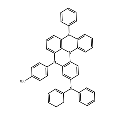 CC(C)(C)c1ccc(N2c3cc(N(C4=CC=CCC4)c4ccccc4)ccc3B3c4ccccc4N(c4ccccc4)c4cccc2c43)cc1